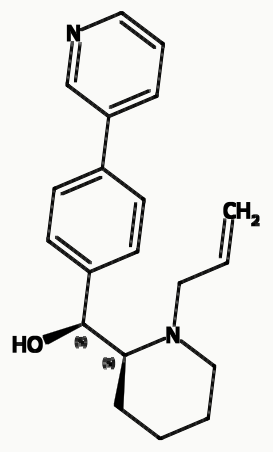 C=CCN1CCCC[C@H]1[C@@H](O)c1ccc(-c2cccnc2)cc1